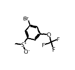 C[S+]([O-])c1cc(Br)cc(OC(F)(F)F)c1